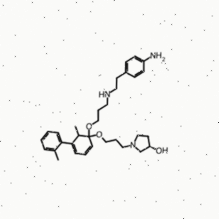 Cc1ccccc1C1=CC=CC(OCCCNCCc2ccc(N)cc2)(OCCCN2CC[C@@H](O)C2)C1C